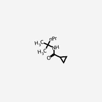 CCCC(C)(C)NC(=O)C1CC1